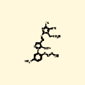 CNc1c(N=Nc2nc(C#N)c(C#N)n2CC(=O)O)cnn1-c1cc(S(=O)(=O)O)ccc1SOOO